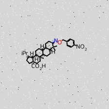 CC(C)[C@H]1CC[C@]2(C(=O)O)CC[C@]3(C)[C@H](CC[C@@H]4[C@@]5(C)CC/C(=N/OCc6ccc([N+](=O)[O-])cc6)C(C)(C)[C@@H]5CC[C@]43C)[C@@H]12